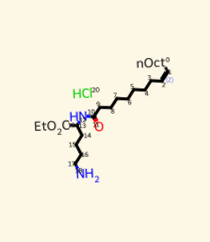 CCCCCCCC/C=C\CCCCCCCC(=O)NC(CCCCN)C(=O)OCC.Cl